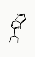 CCC(CC)c1ccn2nccc2n1